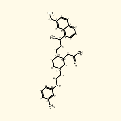 COc1ccc2nccc(C(O)CC[C@@H]3CCN(CCSc4cccc(C)c4)C[C@@H]3CC(=O)O)c2c1